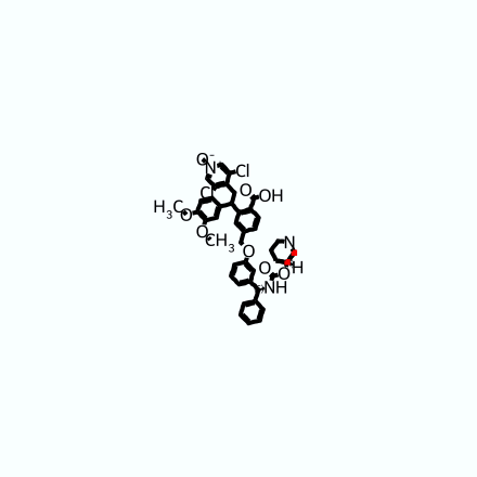 COc1ccc(C(Cc2c(Cl)c[n+]([O-])cc2Cl)c2cc(COc3cccc([C@@H](NC(=O)O[C@H]4CN5CCC4CC5)c4ccccc4)c3)ccc2C(=O)O)cc1OC